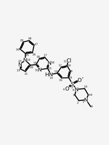 CN1CCN(S(=O)(=O)c2cc(Cl)cc(Nc3nccc(-c4ccnn4-c4ccccc4)n3)c2)CC1